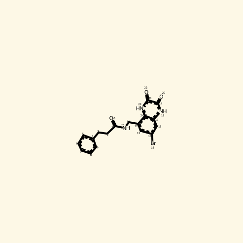 O=C(CCc1ccccc1)NCc1cc(Br)cc2[nH]c(=O)c(=O)[nH]c12